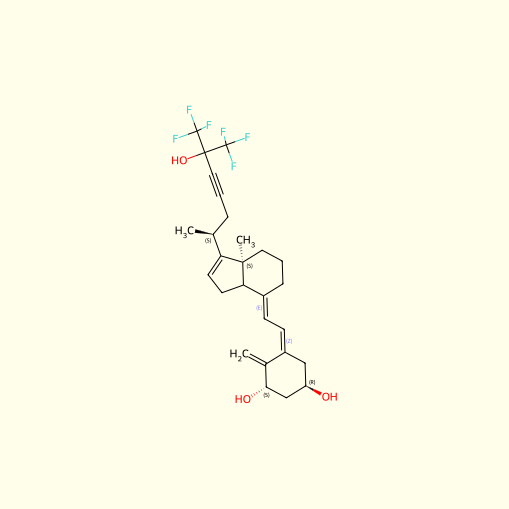 C=C1/C(=C\C=C2/CCC[C@]3(C)C([C@@H](C)CC#CC(O)(C(F)(F)F)C(F)(F)F)=CCC23)C[C@@H](O)C[C@@H]1O